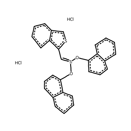 Cl.Cl.[CH](c1scc2ccccc12)=[Ti]([O]c1cccc2ccccc12)[O]c1cccc2ccccc12